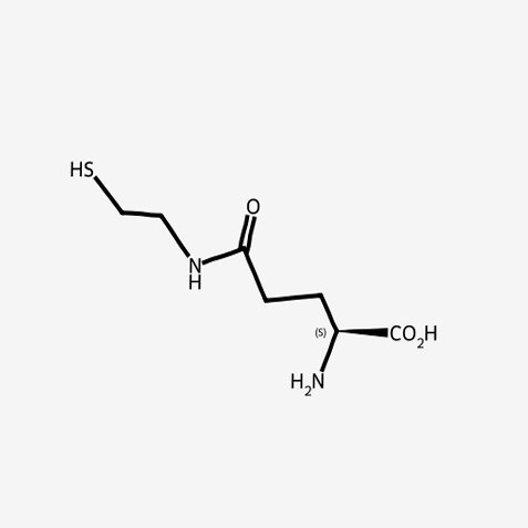 N[C@@H](CCC(=O)NCCS)C(=O)O